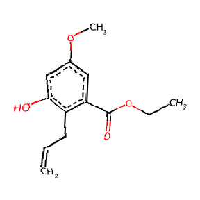 C=CCc1c(O)cc(OC)cc1C(=O)OCC